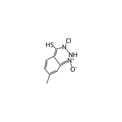 Cc1ccc2c(c1)=[N+]([O-])NN(Cl)C=2S